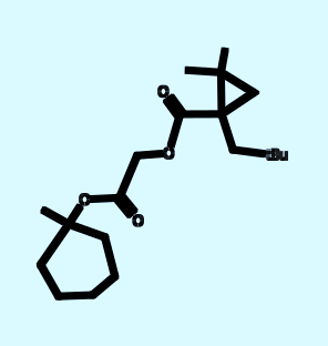 CC(C)(C)CC1(C(=O)OCC(=O)OC2(C)CCCCC2)CC1(C)C